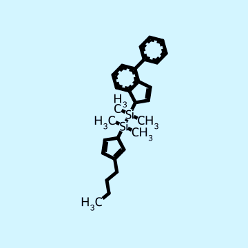 CCCCC1=CC([Si](C)(C)[Si](C)(C)C2C=Cc3c(-c4ccccc4)cccc32)C=C1